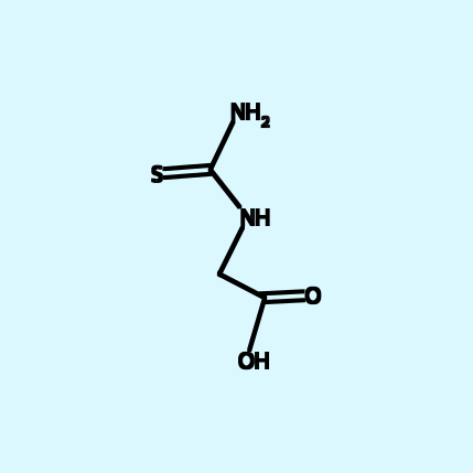 NC(=S)NCC(=O)O